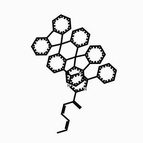 C=C(/C=C\C=C/C)c1nc(-c2ccccc2)nc(-c2cccc3c2C2(c4ccccc4-c4ccccc42)c2ccccc2C32c3ccccc3-c3ccccc32)n1